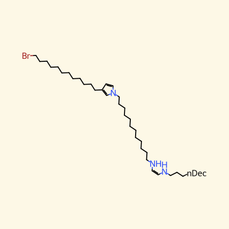 CCCCCCCCCCCCCN/C=C\NCCCCCCCCCCCCn1ccc(CCCCCCCCCCCCBr)c1